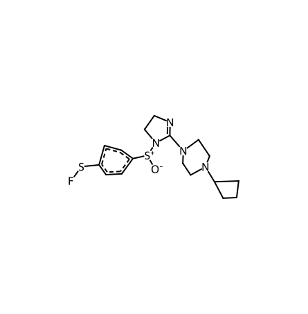 [O-][S+](c1ccc(SF)cc1)N1CCN=C1N1CCN(C2CCC2)CC1